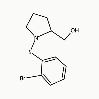 OCC1CCCN1Sc1ccccc1Br